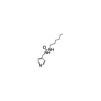 CCCCCCNC(=O)NCc1ccncc1